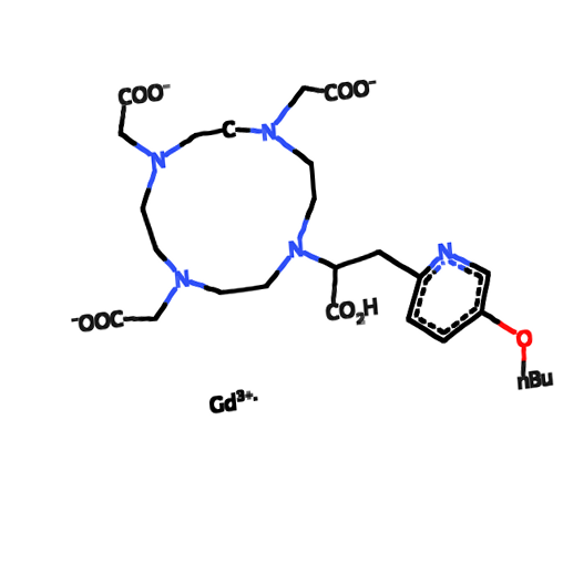 CCCCOc1ccc(CC(C(=O)O)N2CCN(CC(=O)[O-])CCN(CC(=O)[O-])CCN(CC(=O)[O-])CC2)nc1.[Gd+3]